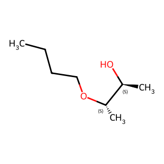 CCCCO[C@@H](C)[C@H](C)O